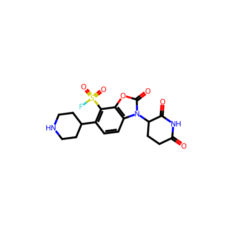 O=C1CCC(n2c(=O)oc3c(S(=O)(=O)F)c(C4CCNCC4)ccc32)C(=O)N1